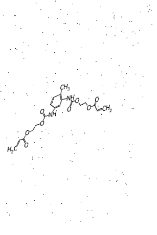 C=CC(=O)OCCOC(=O)Nc1ccc(C)c(NC(=O)OCCOC(=O)C=C)c1